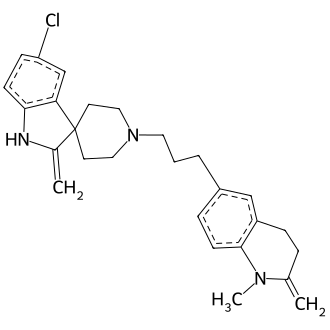 C=C1CCc2cc(CCCN3CCC4(CC3)C(=C)Nc3ccc(Cl)cc34)ccc2N1C